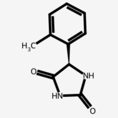 Cc1ccccc1[C@H]1NC(=O)NC1=O